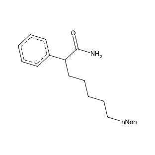 CCCCCCCCCCCCCCC(C(N)=O)c1ccccc1